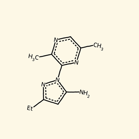 CCc1cc(N)n(-c2nc(C)cnc2C)n1